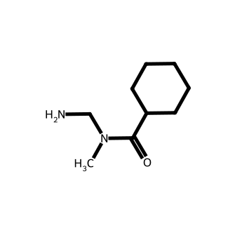 CN(CN)C(=O)C1CCCCC1